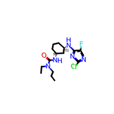 CCCN(CC)C(=O)N[C@@H]1CCC[C@H](Nc2nc(Cl)ncc2F)C1